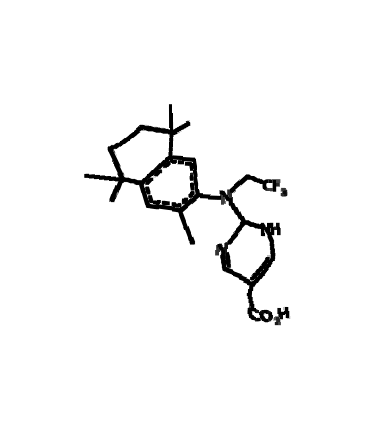 Cc1cc2c(cc1N(CC(F)(F)F)C1N=CC(C(=O)O)=CN1)C(C)(C)CCC2(C)C